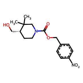 CC1(C)CN(C(=O)OCc2ccc([N+](=O)[O-])cc2)CC[C@@H]1CO